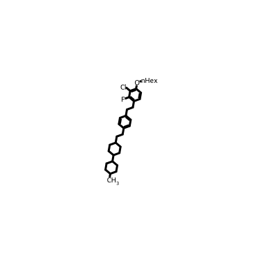 CCCCCCOc1ccc(CCc2ccc(CCC3CCC(C4CCC(C)CC4)CC3)cc2)c(F)c1Cl